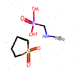 CCCCNCP(=O)(O)O.O=S1(=O)CCCC1